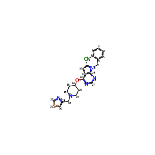 Clc1ccccc1Cn1ccc2c(OC3CCN(Cc4cscn4)CC3)ncnc21